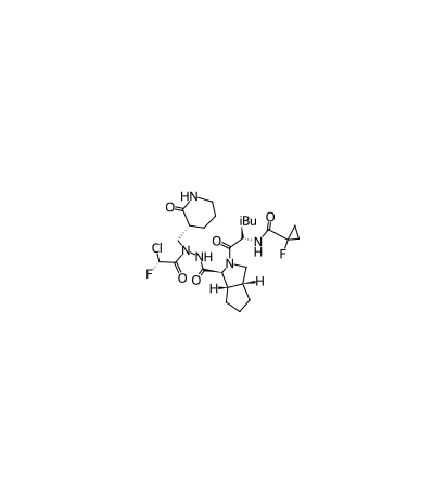 CC[C@H](C)[C@H](NC(=O)C1(F)CC1)C(=O)N1C[C@@H]2CCC[C@@H]2[C@H]1C(=O)NN(C[C@H]1CCCNC1=O)C(=O)[C@H](F)Cl